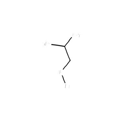 CCCC(CCC)CPCC